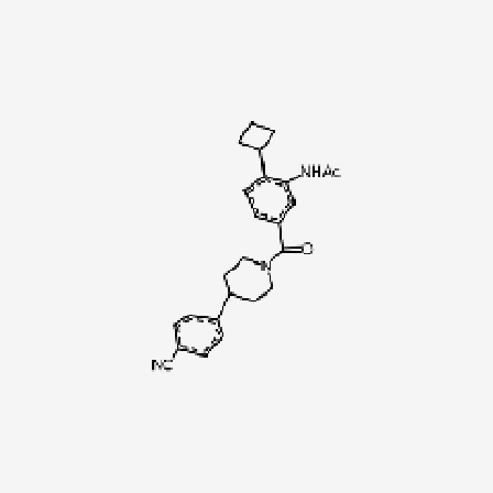 CC(=O)Nc1cc(C(=O)N2CCC(c3ccc(C#N)cc3)CC2)ccc1C1CCC1